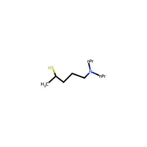 CCCN(CCC)CCCC(C)S